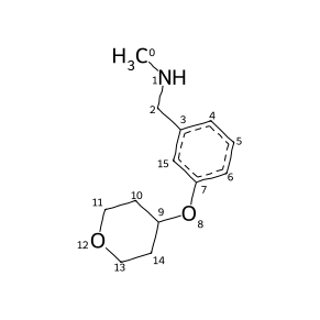 CNCc1cccc(OC2CCOCC2)c1